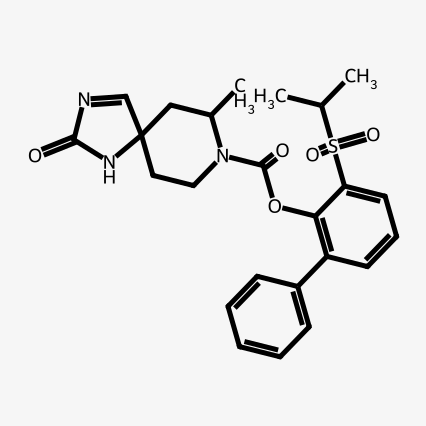 CC1CC2(C=NC(=O)N2)CCN1C(=O)Oc1c(-c2ccccc2)cccc1S(=O)(=O)C(C)C